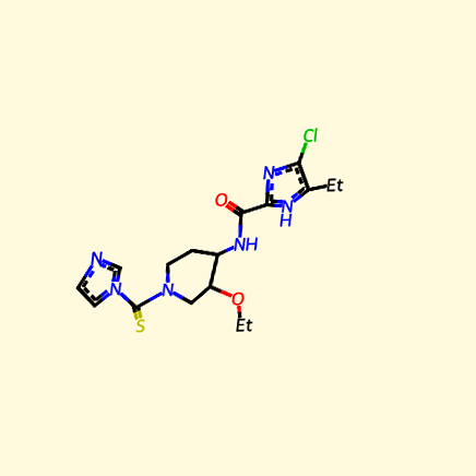 CCOC1CN(C(=S)n2ccnc2)CCC1NC(=O)c1nc(Cl)c(CC)[nH]1